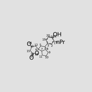 CCCc1cc(CCC2(C3CCCC3)CC(=O)CC(=O)O2)ccc1O